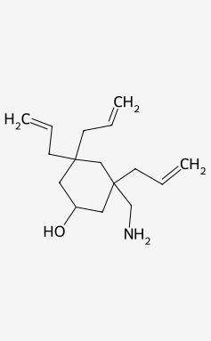 C=CCC1(CN)CC(O)CC(CC=C)(CC=C)C1